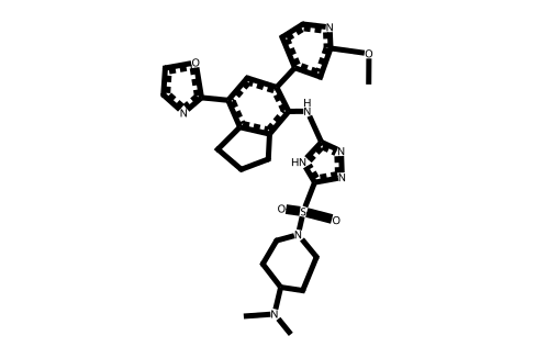 COc1cc(-c2cc(-c3ncco3)c3c(c2Nc2nnc(S(=O)(=O)N4CCC(N(C)C)CC4)[nH]2)CCC3)ccn1